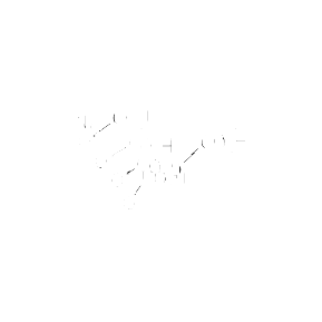 O=C([O-])O.O=C([O-])O.O=C([O-])O.O=C([O-])O.O=C([O-])O.[Na+].[Ti+4]